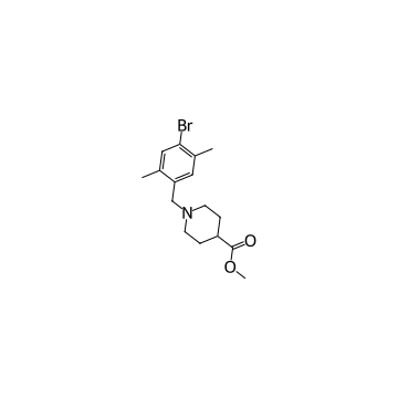 COC(=O)C1CCN(Cc2cc(C)c(Br)cc2C)CC1